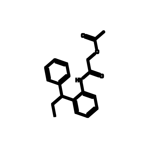 CCC(c1ccccc1)c1ccccc1NC(=O)COC(C)=O